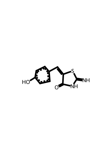 N=C1NC(=O)/C(=C\c2ccc(O)cc2)S1